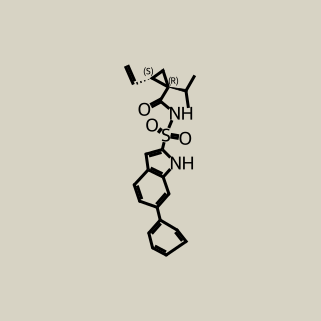 C=C[C@@H]1C[C@@]1(C(=O)NS(=O)(=O)c1cc2ccc(-c3ccccc3)cc2[nH]1)C(C)C